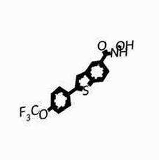 O=C(NO)c1ccc2sc(-c3ccc(OC(F)(F)F)cc3)cc2c1